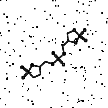 O=S1(=O)CCC(COS(=O)(=O)OCC2COS(=O)(=O)O2)O1